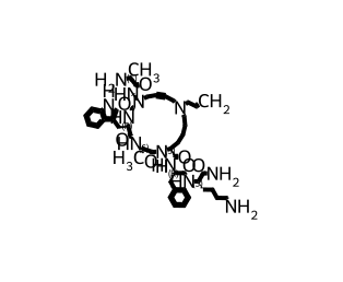 C=CCN1CC#CCN(NC(=O)[C@H](C)N)C(=O)N[C@H](Cc2c[nH]c3ccccc23)C(=O)N[C@@H](C)C(=O)N[C@H](C(=O)N[C@H](Cc2ccccc2)C(=O)N[C@@H](CCCCN)C(N)=O)CCCC1